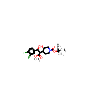 COC(=O)C(C1CCN(C(=O)OC(C)(C)C)CC1)C(O)c1ccc(F)c(F)c1